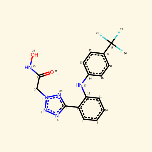 O=C(Cn1nnc(-c2ccccc2Nc2ccc(C(F)(F)F)cc2)n1)NO